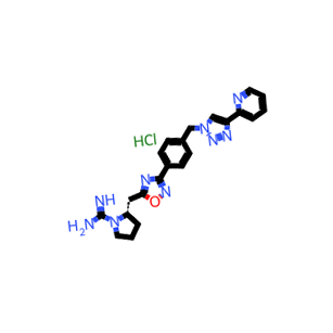 Cl.N=C(N)N1CCC[C@H]1Cc1nc(-c2ccc(Cn3cc(-c4ccccn4)nn3)cc2)no1